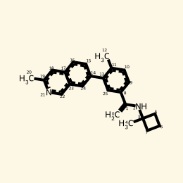 C=C(NC1(C)CCC1)c1ccc(C)c(-c2ccc3cc(C)ncc3c2)c1